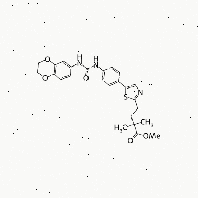 COC(=O)C(C)(C)CCc1ncc(-c2ccc(NC(=O)Nc3ccc4c(c3)OCCO4)cc2)s1